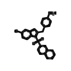 O=C(O)c1ccc(Cc2cc3cc(Cl)ccc3n2S(=O)(=O)c2ccc3ccccc3c2)cc1